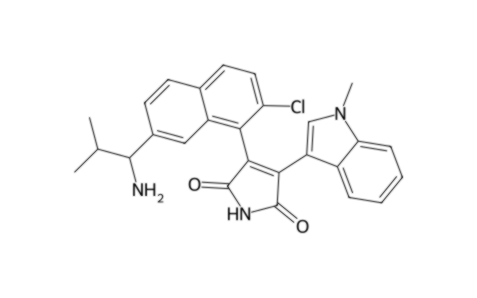 CC(C)C(N)c1ccc2ccc(Cl)c(C3=C(c4cn(C)c5ccccc45)C(=O)NC3=O)c2c1